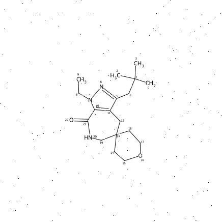 [CH2]C(C)(C)Cc1nn(CC)c2c1CC1(CCOCC1)CNC2=O